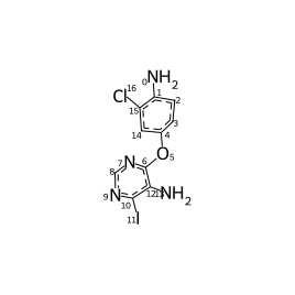 Nc1ccc(Oc2ncnc(I)c2N)cc1Cl